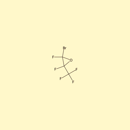 FC(F)(F)C1(F)OC1(F)Br